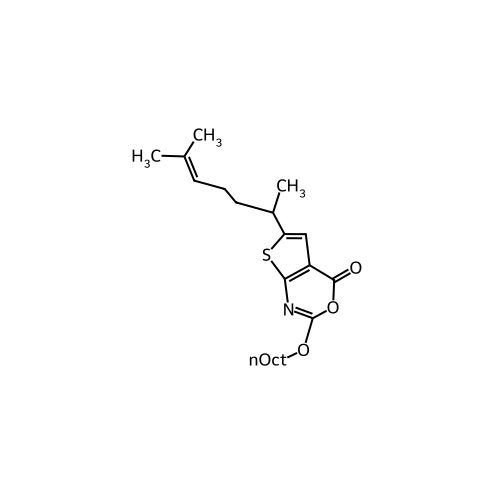 CCCCCCCCOc1nc2sc(C(C)CCC=C(C)C)cc2c(=O)o1